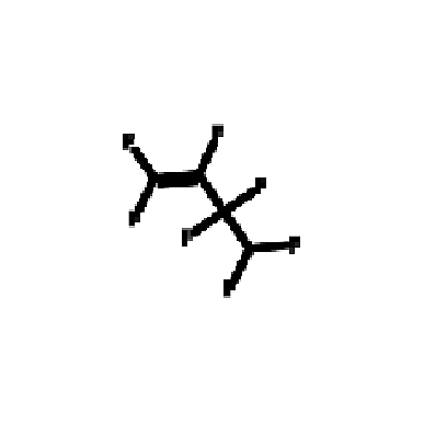 F[C](F)C(F)(F)C(F)=C(F)F